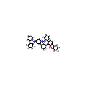 c1ccc(-n2c3ccc(-n4c5ccccc5c5ccccc54)cc3c3cccc(-c4cccc5c4oc4ccccc45)c32)cc1